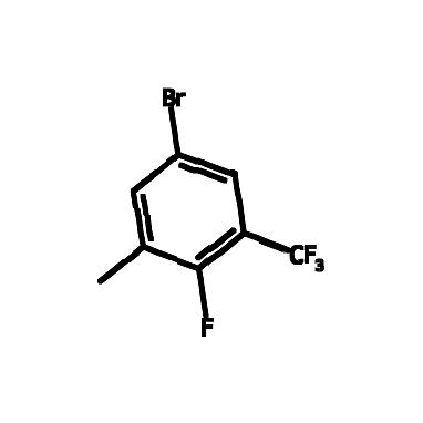 Cc1cc(Br)cc(C(F)(F)F)c1F